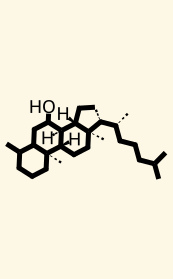 CC(C)CCC[C@@H](C)[C@H]1CC[C@H]2[C@@H]3C(O)CC4C(C)CCC[C@]4(C)[C@H]3CC[C@]12C